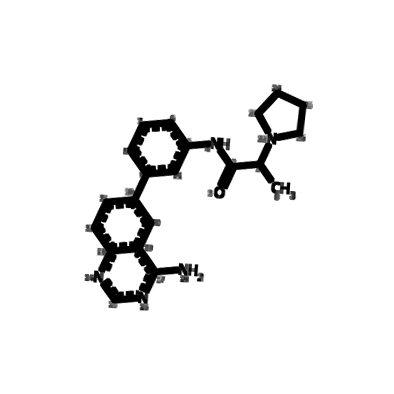 CC(C(=O)Nc1cccc(-c2ccc3ncnc(N)c3c2)c1)N1CCCC1